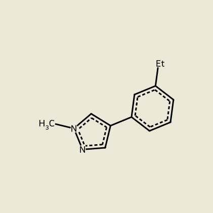 CCc1cccc(-c2cnn(C)c2)c1